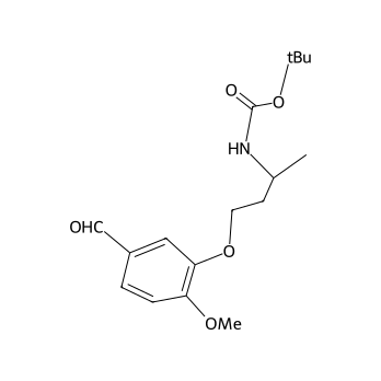 COc1ccc(C=O)cc1OCCC(C)NC(=O)OC(C)(C)C